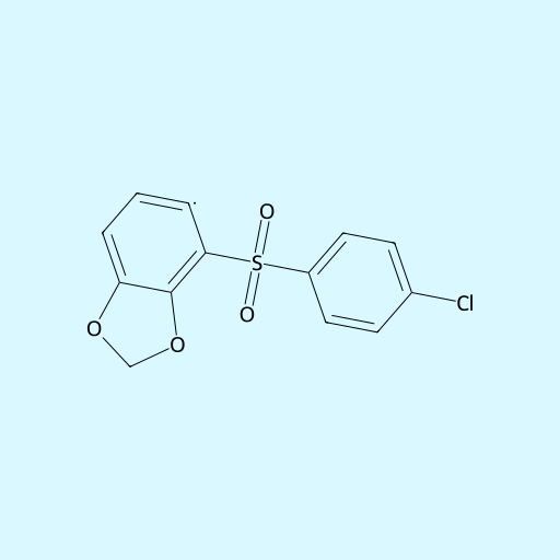 O=S(=O)(c1ccc(Cl)cc1)c1[c]ccc2c1OCO2